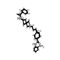 Nc1ccccc1NC(=O)c1ccc(CCCN2CC3(CC(NC4CC4c4ccccc4)C3)C2)cc1